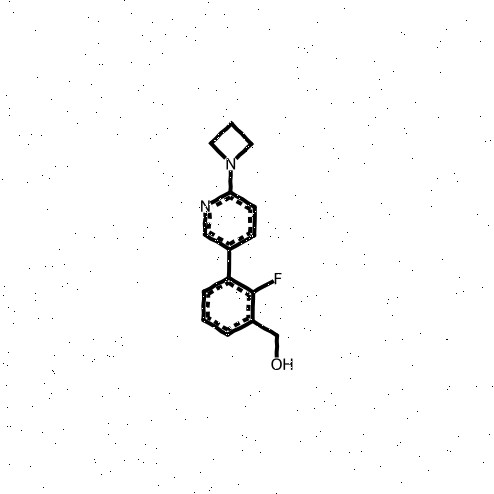 OCc1cccc(-c2ccc(N3CCC3)nc2)c1F